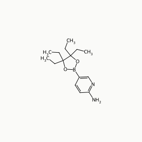 CCC1(CC)OB(c2ccc(N)nc2)OC1(CC)CC